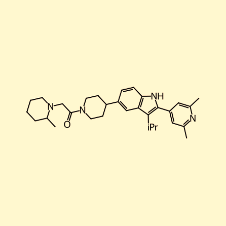 Cc1cc(-c2[nH]c3ccc(C4CCN(C(=O)CN5CCCCC5C)CC4)cc3c2C(C)C)cc(C)n1